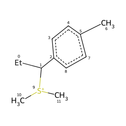 CCC(c1ccc(C)cc1)[S+](C)C